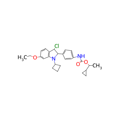 CCOc1ccc2c(c1)N(C1CCC1)C(c1ccc(NC(=O)OC(C)C3CC3)cc1)C2Cl